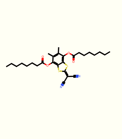 CCCCCCCC(=O)Oc1c(C)c(C)c(OC(=O)CCCCCCC)c2c1SC(=C(C#N)C#N)S2